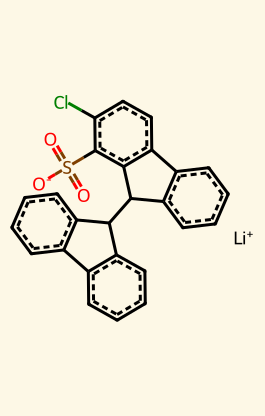 O=S(=O)([O-])c1c(Cl)ccc2c1C(C1c3ccccc3-c3ccccc31)c1ccccc1-2.[Li+]